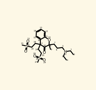 CCN(CC)CCCC1(C)Oc2ccccc2C(CCS(C)(=O)=O)(CCS(C)(=O)=O)C1=O